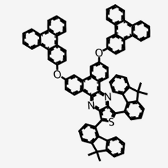 CC1(C)c2ccccc2-c2c(-c3sc(-c4cccc5c4-c4ccccc4C5(C)C)c4nc5c6ccc(Oc7ccc8c9ccccc9c9ccccc9c8c7)cc6c6cc(Oc7ccc8c9ccccc9c9ccccc9c8c7)ccc6c5nc34)cccc21